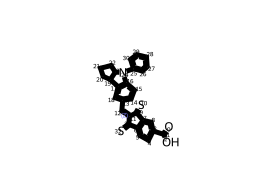 O=C(O)c1ccc2c(c1)C(=S)/C(=C\c1ccc3c(c1)C1CCCC1N3c1ccccc1)C2=S